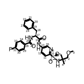 COCC(C)(C)NS(=O)(=O)c1ccc(NC(=O)[C@H](Cc2ccccc2)NC(=O)c2ccc(F)cc2)cn1